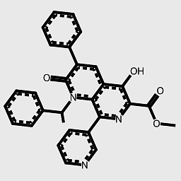 COC(=O)c1nc(-c2cccnc2)c2c(cc(-c3ccccc3)c(=O)n2C(C)c2ccccc2)c1O